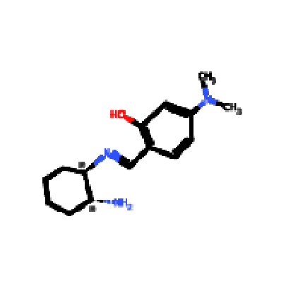 CN(C)c1ccc(C=N[C@@H]2CCCC[C@H]2N)c(O)c1